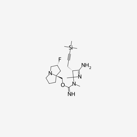 CN(C(=N)OC[C@@]12CCCN1C[C@H](F)C2)C1(C)N=C(N)[C@H]1CC#C[Si](C)(C)C